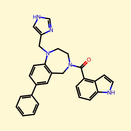 O=C(c1cccc2[nH]ccc12)N1CCN(Cc2c[nH]cn2)c2ccc(-c3ccccc3)cc2C1